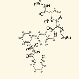 CCCCNC(=O)c1cccc(-n2nc(CCCC)n(Cc3ccc(-c4ccccc4S(=O)(=O)NC(=O)c4ccccc4Cl)cc3)c2=O)c1Cl